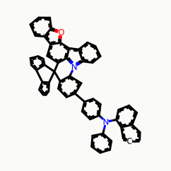 c1ccc(N(c2ccc(-c3ccc4c(c3)-n3c5ccccc5c5c6oc7ccccc7c6cc(c53)C43c4ccccc4-c4ccccc43)cc2)c2cccc3ccccc23)cc1